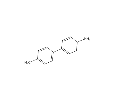 Cc1ccc(C2=CCC(N)C=C2)cc1